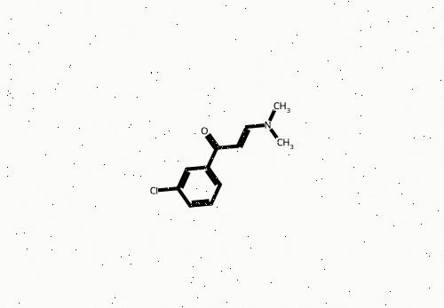 CN(C)C=CC(=O)c1cccc(Cl)c1